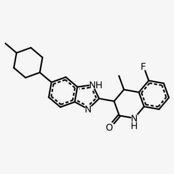 CC1CCC(c2ccc3nc(C4C(=O)Nc5cccc(F)c5C4C)[nH]c3c2)CC1